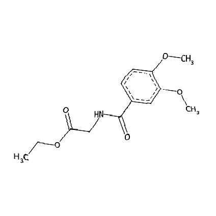 CCOC(=O)CNC(=O)c1ccc(OC)c(OC)c1